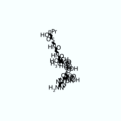 CCCC(O)CC(=O)SCCNC(=O)CCNC(=O)[C@H](O)C(C)(C)COP(=O)(O)OP(=O)(O)OC[C@H]1O[C@H](n2cnc3c(N)ncnc32)[C@H](O)[C@@H]1OP(=O)(O)O